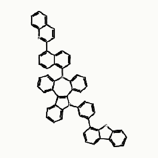 c1cc(-c2cccc3c2oc2ccccc23)cc(-n2c3c(c4ccccc42)-c2ccccc2N(c2cccc4c(-c5ccc6ccccc6n5)cccc24)c2ccccc2-3)c1